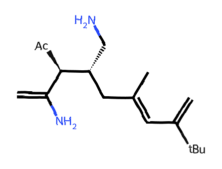 C=C(N)[C@@H](C(C)=O)[C@H](CN)C/C(C)=C/C(=C)C(C)(C)C